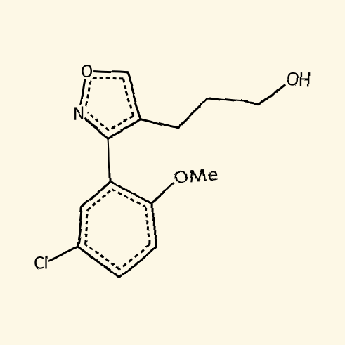 COc1ccc(Cl)cc1-c1nocc1CCCO